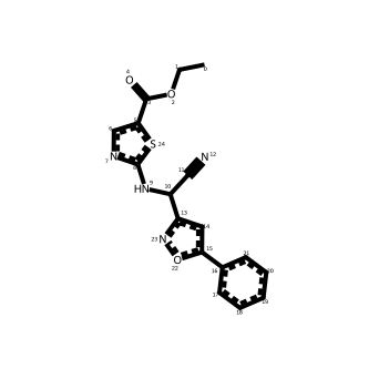 CCOC(=O)c1cnc(NC(C#N)c2cc(-c3ccccc3)on2)s1